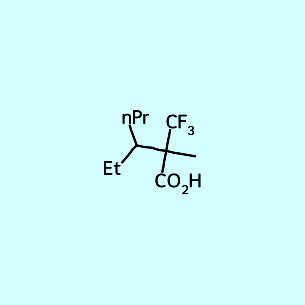 CCCC(CC)C(C)(C(=O)O)C(F)(F)F